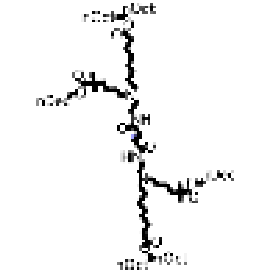 CCCCCCCCCCCOC(=O)C(C)(C)CCCCN(CCCCCCCC(=O)OC(CCCCCCCC)CCCCCCCC)CCNC(=O)/C=C/C(=O)NCCN(CCCCCCCC(=O)OC(CCCCCCCC)CCCCCCCC)CCCCC(C)(C)C(=O)OCCCCCCCCCCC